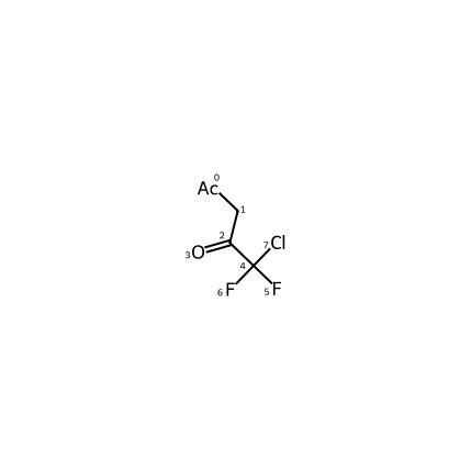 CC(=O)CC(=O)C(F)(F)Cl